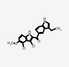 CCc1c[nH]c2ccc(C(=O)c3[nH]c4ccc(OC)c(Cl)c4c3Cl)cc12